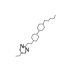 CCCCCC1CCC(C2CCC(CCc3ncc(CC)cn3)CC2)CC1